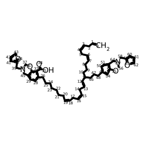 C=CC/C=C\C/C=C\CCCC(C=CC/C=C\C/C=C\CCCCCCCc1ccc2c(c1C(=O)O)OCN(Cc1ccco1)C2)CCCc1ccc2c(c1)OCN(Cc1ccco1)C2